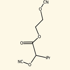 CC(C)C(OC#N)C(=O)OCCOC#N